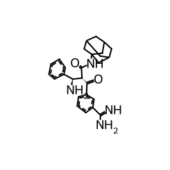 N=C(N)c1cccc(C(=O)[C@@H](C(=O)NC23CC4CC(CC(C4)C2)C3)[C@@H](N)c2ccccc2)c1